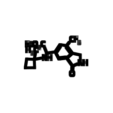 CCOC(=O)C(NC1(C)CCC1)c1cc2c(c(C(F)(F)F)c1)CNC2=O